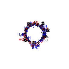 CCCC[C@H]1C(=O)N[C@@H](CCCN)C(=O)N[C@H](C(=O)NCC(N)=O)CSCC(=O)N[C@@H](Cc2ccc(O)cc2)C(=O)N(C)[C@@H](C)C(=O)N[C@@H](CC(N)=O)C(=O)N2CCC[C@H]2C(=O)N[C@@H](CN)C(=O)N[C@@H](CC(C)C)C(=O)N2C[C@H](O)C[C@H]2C(=O)N[C@@H](Cc2c[nH]c3ccccc23)C(=O)N[C@@H](CO)C(=O)N[C@@H](Cc2c[nH]c3ccccc23)c2nnnn2[C@@H](CCCC)C(=O)N1C